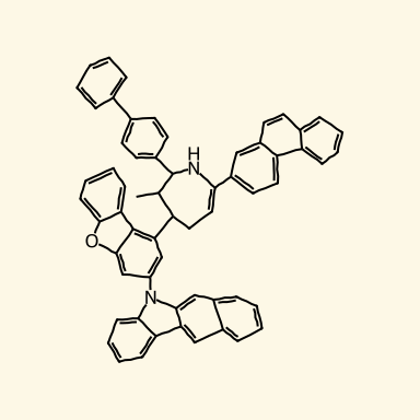 CC1C(c2cc(-n3c4ccccc4c4cc5ccccc5cc43)cc3oc4ccccc4c23)CC=C(c2ccc3c(ccc4ccccc43)c2)NC1c1ccc(-c2ccccc2)cc1